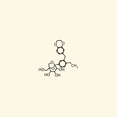 CCc1ccc([C@]23OCC(CO)(O2)C(O)C(O)C3O)cc1Cc1ccc2c(c1)OCCO2